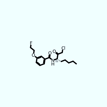 CCCCC[C@H](NC(=O)c1cccc(OCCF)c1)C(=O)CCl